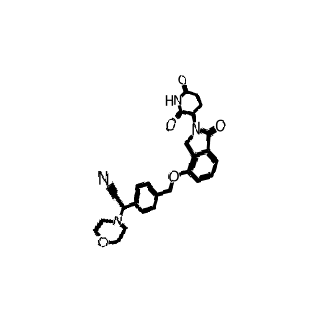 N#CC(c1ccc(COc2cccc3c2CN(C2CCC(=O)NC2=O)C3=O)cc1)N1CCOCC1